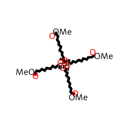 COC(=O)CCCCCCCCC[Si]1(C)O[Si](C)(CCCCCCCCCC(=O)OC)O[Si](C)(CCCCCCCCCC(=O)OC)O[Si](C)(CCCCCCCCCC(=O)OC)O1